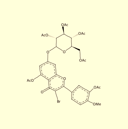 COc1ccc(-c2oc3cc(OC4O[C@H](COC(C)=O)[C@@H](OC(C)=O)[C@H](OC(C)=O)[C@H]4OC(C)=O)cc(OC(C)=O)c3c(=O)c2Br)cc1OC(C)=O